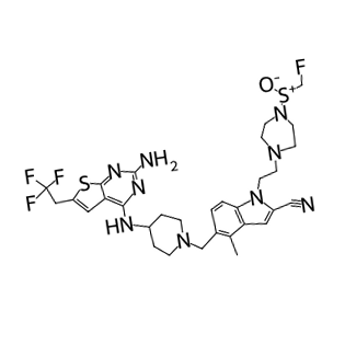 Cc1c(CN2CCC(Nc3nc(N)nc4sc(CC(F)(F)F)cc34)CC2)ccc2c1cc(C#N)n2CCN1CCN([S+]([O-])CF)CC1